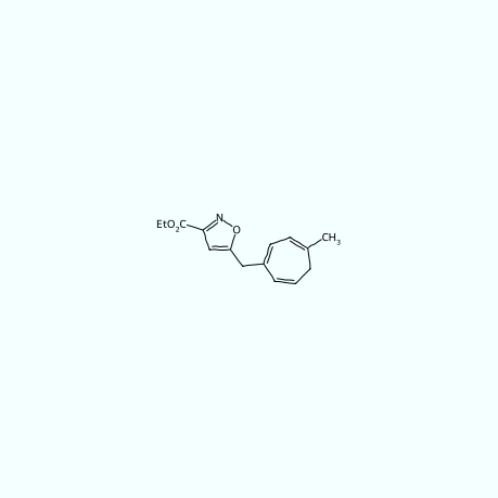 CCOC(=O)c1cc(CC2=CC=C(C)CC=C2)on1